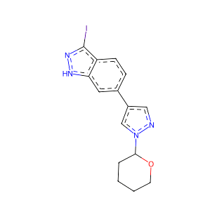 Ic1n[nH]c2cc(-c3cnn(C4CCCCO4)c3)ccc12